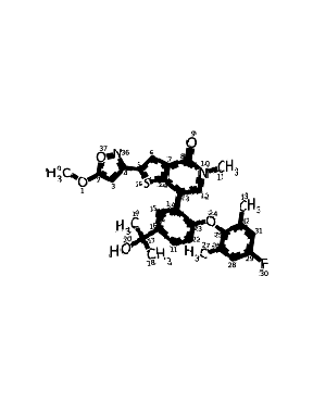 COc1cc(-c2cc3c(=O)n(C)cc(-c4cc(C(C)(C)O)ccc4Oc4c(C)cc(F)cc4C)c3s2)no1